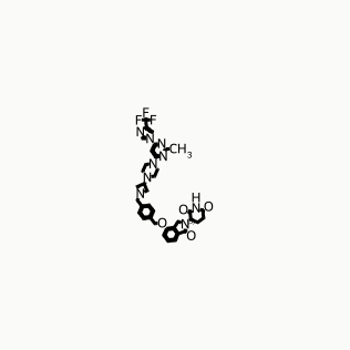 Cc1nc(N2CCN(C3CN(Cc4ccc(COc5cccc6c5CN([C@H]5CCC(=O)NC5=O)C6=O)cc4)C3)CC2)cc(-n2cnc(C(F)(F)F)c2)n1